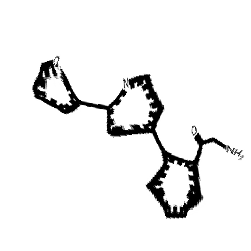 NC(=O)c1ccccc1-c1ccnc(-c2ccco2)c1